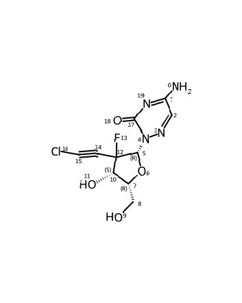 Nc1cnn([C@@H]2O[C@H](CO)[C@H](O)C2(F)C#CCl)c(=O)n1